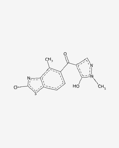 Cc1c(C(=O)c2cnn(C)c2O)ccc2sc(Cl)nc12